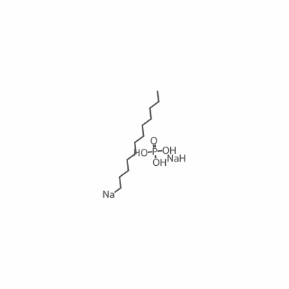 CCCCCCCCCCC[CH2][Na].O=P(O)(O)O.[NaH]